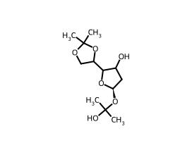 CC(C)(O)O[C@@H]1CC(O)C(C2COC(C)(C)O2)O1